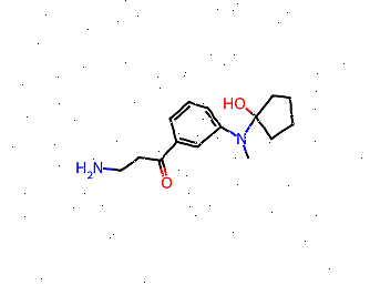 CN(c1cccc(C(=O)CCN)c1)C1(O)CCCC1